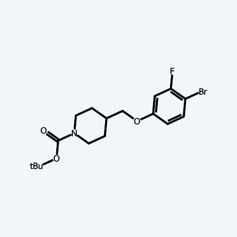 CC(C)(C)OC(=O)N1CCC(COc2ccc(Br)c(F)c2)CC1